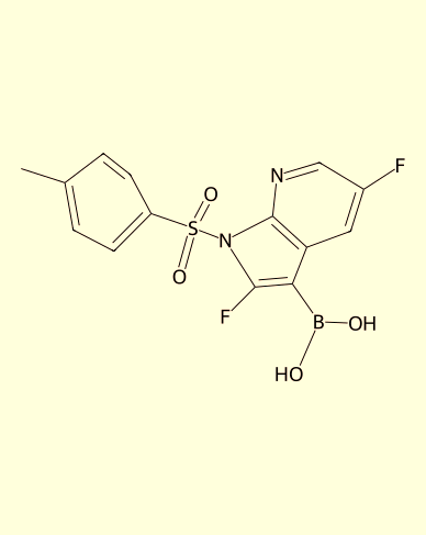 Cc1ccc(S(=O)(=O)n2c(F)c(B(O)O)c3cc(F)cnc32)cc1